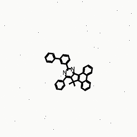 CC1(C)c2c(-c3ccccc3)nc(-c3cccc(-c4ccccc4)c3)nc2-c2c1c1ccccc1c1ccccc21